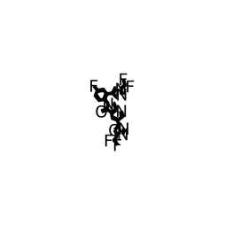 O=C1c2cc(-c3nnc(C(F)F)o3)cnc2CN1c1ccc(F)cc1-c1cnn(C(F)F)c1